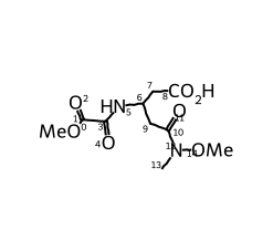 COC(=O)C(=O)NC(CC(=O)O)CC(=O)N(C)OC